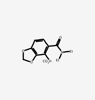 CCN(CC)C(=O)c1ccc2c(c1C(=O)O)OCO2